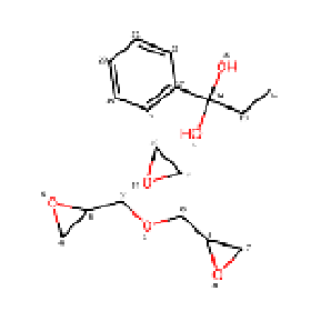 C(OCC1CO1)C1CO1.C1CO1.CCC(O)(O)c1ccccc1